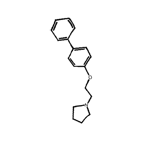 [c]1cccc(-c2ccc(OCCN3CCCC3)cc2)c1